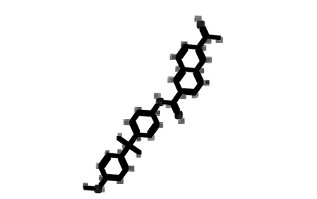 COc1ccc(C(C)(C)c2ccc(OC(=O)c3ccc4cc(C(C)=O)ccc4c3)cc2)cc1